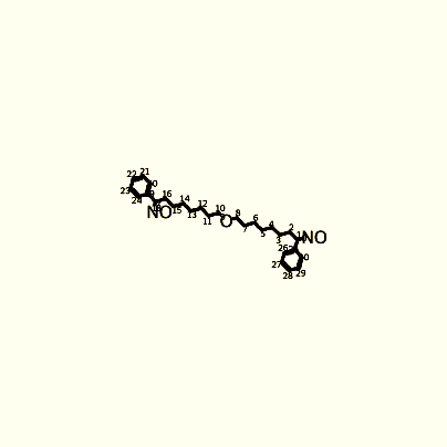 O=NC(CCCCCCCOCCCCCCCC(N=O)c1ccccc1)c1ccccc1